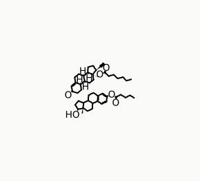 C#C[C@]1(OC(=O)CCCCCC)CC[C@H]2[C@@H]3CCC4=CC(=O)CC[C@@H]4[C@H]3CC[C@@]21C.CCCCC(=O)Oc1ccc2c(c1)CCC1C2CC[C@@]2(C)C1CC[C@@H]2O